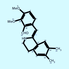 COc1ccc(/C=C2\NCCc3cc(C)c(C)cc32)c(C=O)c1OC